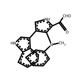 CN(c1ccccc1)c1c(-c2c[nH]c3ccccc23)c[nH]c1C(=O)C=O